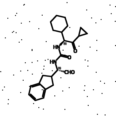 O=C[C@@H](NC(=O)N[C@H](C(=O)C1CC1)C1CCCCC1)C1Cc2ccccc2C1